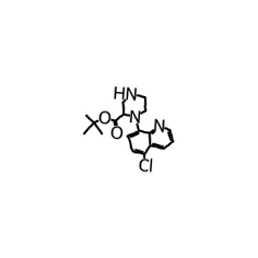 CC(C)(C)OC(=O)C1CNCCN1c1ccc(Cl)c2cccnc12